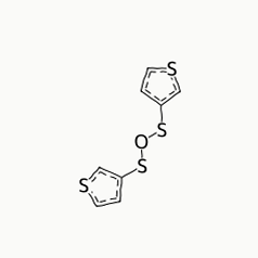 c1cc(SOSc2ccsc2)cs1